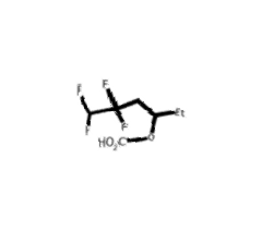 CCC(CC(F)(F)C(F)F)OC(=O)O